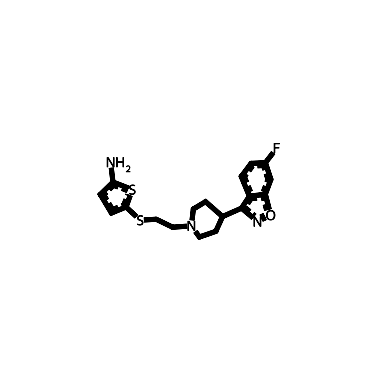 Nc1ccc(SCCN2CCC(c3noc4cc(F)ccc34)CC2)s1